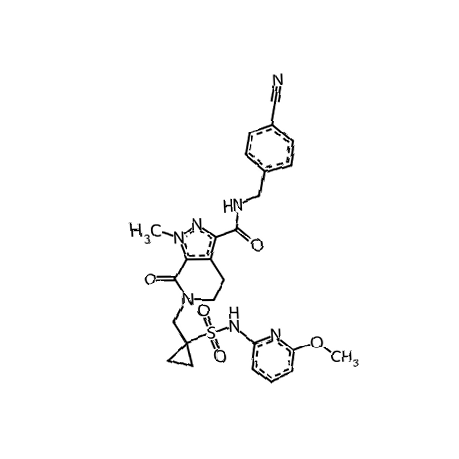 COc1cccc(NS(=O)(=O)C2(CN3CCc4c(C(=O)NCc5ccc(C#N)cc5)nn(C)c4C3=O)CC2)n1